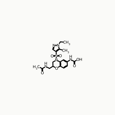 CCn1ncc(S(=O)(=O)N2CC(CNC(C)=O)Oc3ccc(NC(=O)O)cc32)c1C